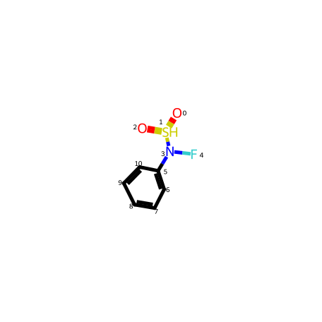 O=[SH](=O)N(F)c1ccccc1